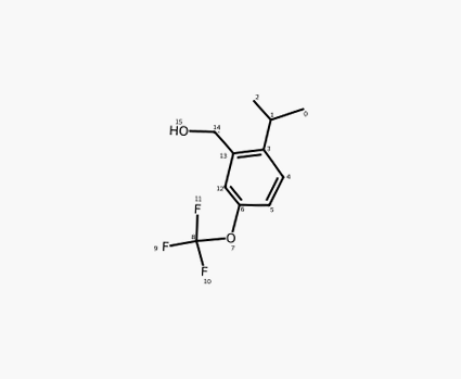 CC(C)c1ccc(OC(F)(F)F)cc1[CH]O